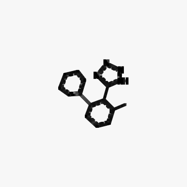 Cc1cccc(-c2ccccc2)c1-c1nnn[nH]1